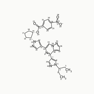 CCC(CC)n1cc(-c2nc(-c3cnn([C@@H]4CCC[C@@H]4OC(=O)c4ccc([N+](=O)[O-])cc4)c3)cn3nccc23)cn1